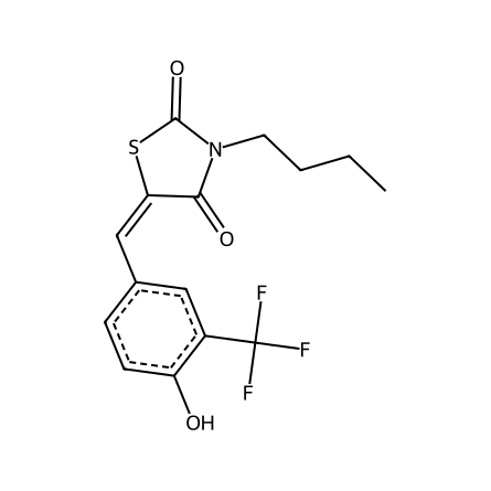 CCCCN1C(=O)SC(=Cc2ccc(O)c(C(F)(F)F)c2)C1=O